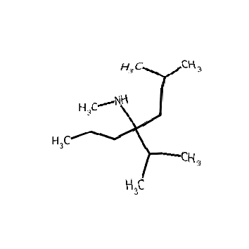 CCCC(CC(C)C)(NC)C(C)C